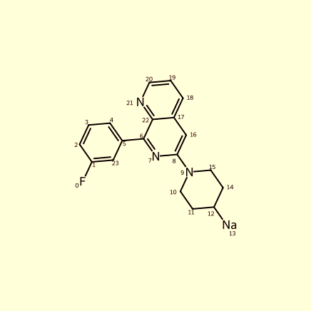 Fc1cccc(-c2nc(N3CC[CH]([Na])CC3)cc3cccnc23)c1